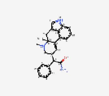 CN1C[C@H](C(C(N)=O)c2ccccc2)C=C2c3cccc4[nH]cc(c34)C[C@H]21